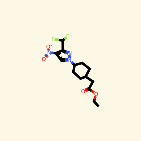 CCOC(=O)CC1CCC(n2cc([N+](=O)[O-])c(C(F)F)n2)CC1